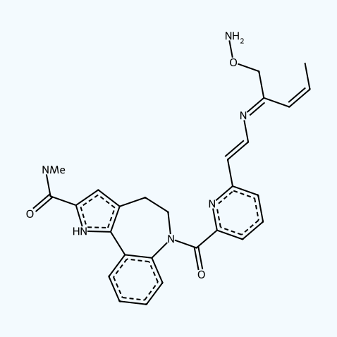 C\C=C/C(CON)=N\C=C\c1cccc(C(=O)N2CCc3cc(C(=O)NC)[nH]c3-c3ccccc32)n1